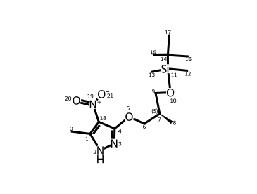 Cc1[nH]nc(OC[C@H](C)CO[Si](C)(C)C(C)(C)C)c1[N+](=O)[O-]